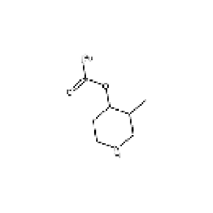 CC1CNCCC1OC(=O)C(C)(C)C